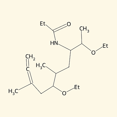 C=C=C(C)CC(OCC)C(C)CC(NC(=O)CC)C(C)OCC